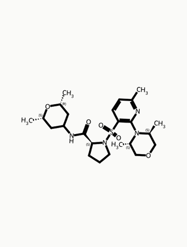 Cc1ccc(S(=O)(=O)N2CCC[C@H]2C(=O)NC2C[C@@H](C)O[C@@H](C)C2)c(N2[C@@H](C)COC[C@@H]2C)n1